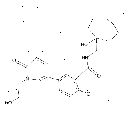 O=C(NCC1(O)CCCCCC1)c1cc(-c2ccc(=O)n(CCO)n2)ccc1Cl